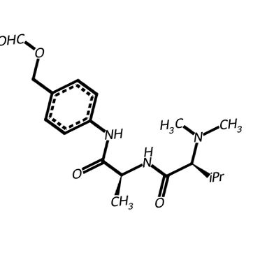 CC(C)[C@@H](C(=O)N[C@@H](C)C(=O)Nc1ccc(COC=O)cc1)N(C)C